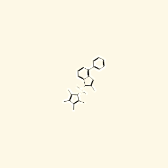 CC1=Cc2c(-c3ccccc3)cccc2C1S(C)(C)C1C(C)=C(C)C(C)=C1C